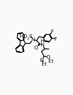 CCOC(CC(C)NC(=O)C(Cc1ccc(F)c(F)c1)N(CC1c2ccccc2-c2ccccc21)C(=O)O)OCC